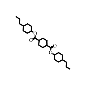 CCCC1CCC(OC(=O)C2CCC(C(=O)OC3CCC(CCC)CC3)CC2)CC1